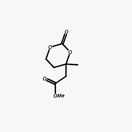 COC(=O)CC1(C)CCOC(=O)O1